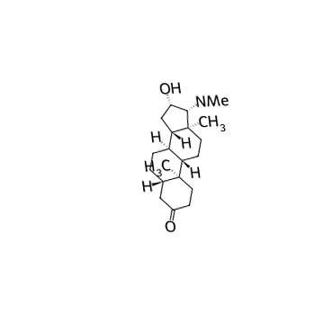 CN[C@H]1[C@@H](O)C[C@H]2[C@@H]3CC[C@H]4CC(=O)CC[C@]4(C)[C@H]3CC[C@@]21C